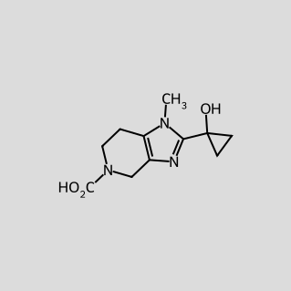 Cn1c(C2(O)CC2)nc2c1CCN(C(=O)O)C2